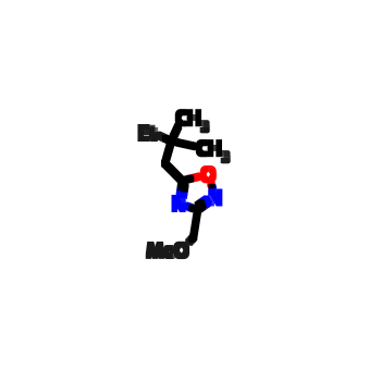 CCC(C)(C)Cc1nc(COC)no1